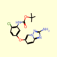 CC(C)(C)OC(=O)Nc1cc(Oc2ccc3nc(N)nn3c2)ccc1Cl